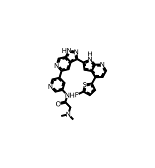 CN(C)CC(=O)Nc1cncc(-c2cc3c(-c4cc5c(-c6ccc(F)s6)ccnc5[nH]4)n[nH]c3cn2)c1